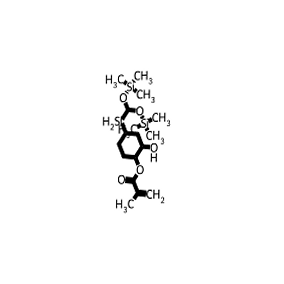 C=C(C)C(=O)OC1CCC([SiH2]C(O[Si](C)(C)C)O[Si](C)(C)C)CC1O